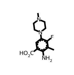 Cc1c(N)c(C(=O)O)cc(N2CCN(C)CC2)c1F